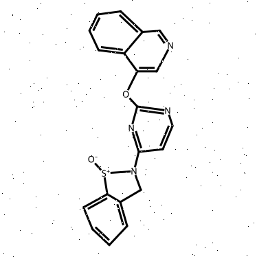 [O-][S+]1c2ccccc2CN1c1ccnc(Oc2cncc3ccccc23)n1